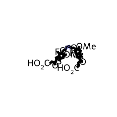 COc1cc2sc(C(=O)CCC(=O)O)cc2c(F)c1OC/C=C\COc1c(OC)cc2sc(C(=O)CCC(=O)O)cc2c1F